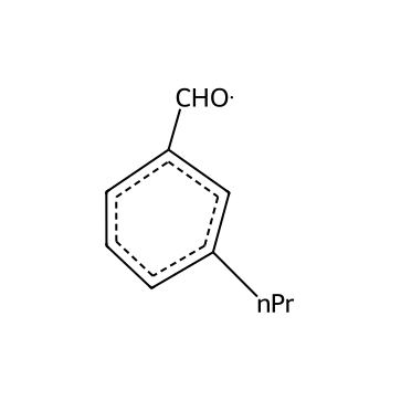 CCCc1cccc([C]=O)c1